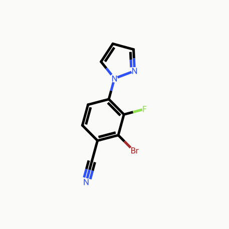 N#Cc1ccc(-n2cccn2)c(F)c1Br